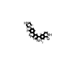 Nc1nc(F)c(-c2ccc(N3CCNCC3)c(F)c2F)cc1-c1ccc2c(c1)CCNC2=O